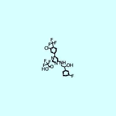 O=C(O)C(F)(F)F.OC(CNc1cc(-c2ccc(C(F)(F)F)c(Cl)c2)ncn1)c1cccc(F)c1